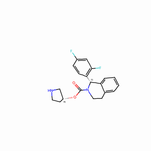 O=C(O[C@@H]1CCNC1)N1CCc2ccccc2[C@H]1c1ccc(F)cc1F